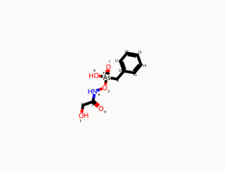 O=C(CO)NO[As](=O)(O)Cc1ccccc1